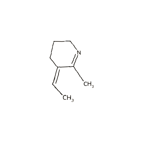 C/C=C1/CCCN=C1C